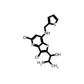 CC(N)C(O)c1sc2c(NCc3cccs3)cc(Cl)nc2c1Cl